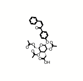 CC(=O)OC[C@@H]1O[C@H](Oc2ccc(C(=O)/C=C\c3ccccc3)cc2)[C@H](OC(C)=O)[C@H](CC(=O)O)[C@H]1OC(C)=O